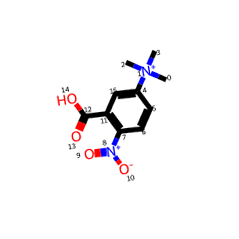 C[N+](C)(C)c1ccc([N+](=O)[O-])c(C(=O)O)c1